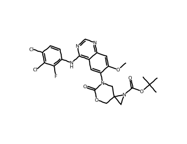 COc1cc2ncnc(Nc3ccc(Cl)c(Cl)c3F)c2cc1N1CC2(COC1=O)CN2C(=O)OC(C)(C)C